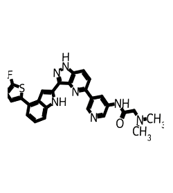 CN(C)CC(=O)Nc1cncc(-c2ccc3[nH]nc(-c4cc5c(-c6ccc(F)s6)cccc5[nH]4)c3n2)c1